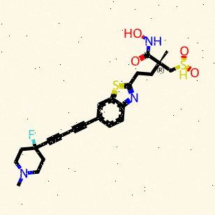 CN1CCC(F)(C#CC#Cc2ccc3nc(CC[C@@](C)(C[SH](=O)=O)C(=O)NO)sc3c2)CC1